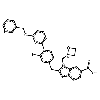 O=C(O)c1ccc2nc(Cc3ccc(-c4cccc(OCc5cccnc5)n4)c(F)c3)n(C[C@@H]3CCO3)c2c1